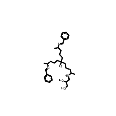 CCC(CCCC(C)N=Cc1ccccc1)(CCCC(C)N=Cc1ccccc1)CCCC(C)NCC(O)CO